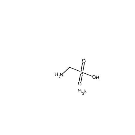 NCS(=O)(=O)O.S